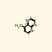 [CH2]c1ccnc2nccnc12